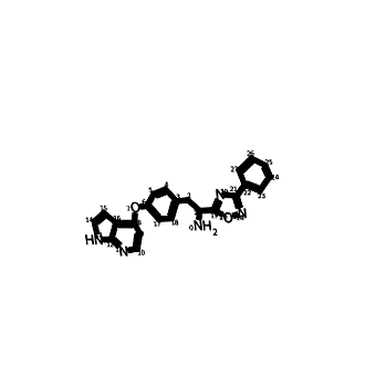 NC(Cc1ccc(Oc2ccnc3[nH]ccc23)cc1)c1nc(-c2ccccc2)no1